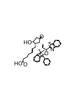 CC(C)(C)[Si](OC(C=C[C@H]1C(=O)C[C@H](O)[C@@H]1CC=CCCCC(=O)O)c1nc2ccccc2s1)(c1ccccc1)c1ccccc1